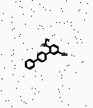 CC(C)Nc1ccc(C(C)(C)C)cc1-c1ccc(-c2ccccc2)cc1